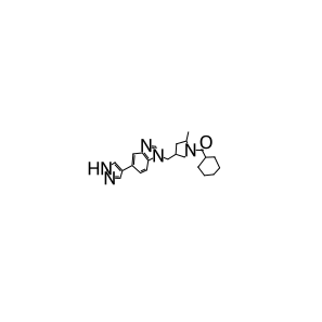 CC1CC(Cn2cnc3cc(-c4cn[nH]c4)ccc32)CN1C(=O)C1CCCCC1